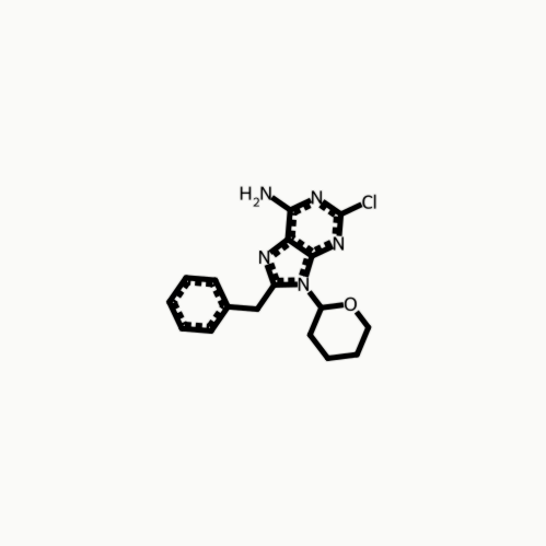 Nc1nc(Cl)nc2c1nc(Cc1ccccc1)n2C1CCCCO1